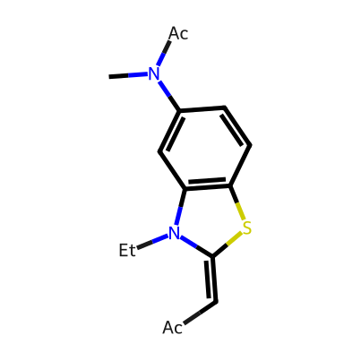 CCN1C(=CC(C)=O)Sc2ccc(N(C)C(C)=O)cc21